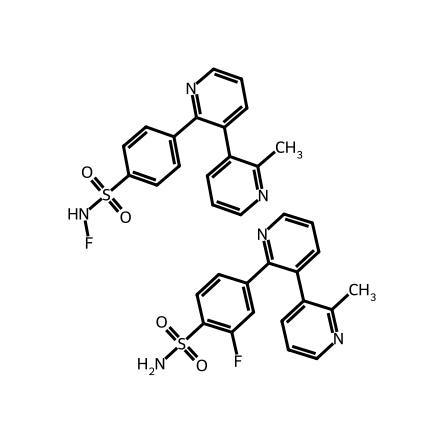 Cc1ncccc1-c1cccnc1-c1ccc(S(=O)(=O)NF)cc1.Cc1ncccc1-c1cccnc1-c1ccc(S(N)(=O)=O)c(F)c1